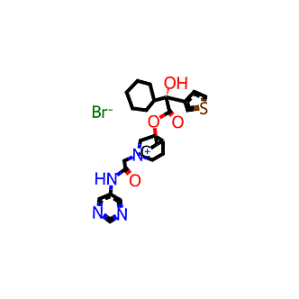 O=C(C[N+]12CCC(CC1)C(OC(=O)[C@](O)(c1ccsc1)C1CCCCC1)C2)Nc1cncnc1.[Br-]